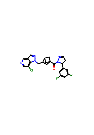 O=C(N1N=CCC1c1cc(F)cc(F)c1)C12CC(Cn3ncc4cncc(Cl)c43)C(C1)C2